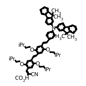 CC(C)CCOc1cc(/C=C/c2cc(OCCC(C)C)c(/C=C(\C#N)C(=O)O)cc2OCCC(C)C)c(OCCC(C)C)cc1/C=C/c1ccc(N(c2ccc3c(c2)C(C)(C)c2ccccc2-3)c2ccc3c(c2)C(C)(C)c2ccccc2-3)cc1